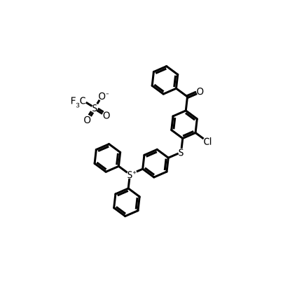 O=C(c1ccccc1)c1ccc(Sc2ccc([S+](c3ccccc3)c3ccccc3)cc2)c(Cl)c1.O=S(=O)([O-])C(F)(F)F